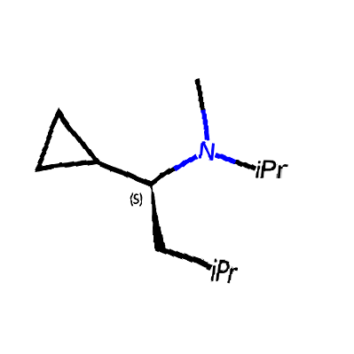 CC(C)C[C@@H](C1CC1)N(C)C(C)C